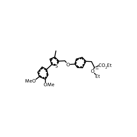 CCOC(=O)[C@H](Cc1ccc(OCc2sc(-c3ccc(OC)c(OC)c3)cc2C)cc1)OCC